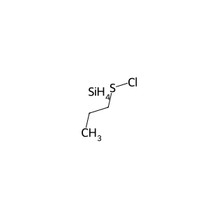 CCCSCl.[SiH4]